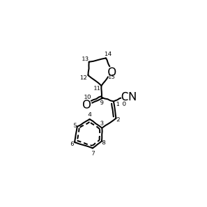 N#C/C(=C/c1ccccc1)C(=O)C1CCCO1